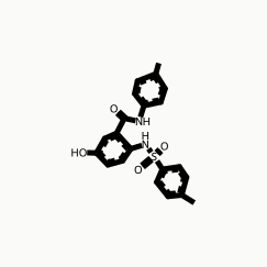 Cc1ccc(NC(=O)c2cc(O)ccc2NS(=O)(=O)c2ccc(C)cc2)cc1